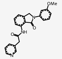 COc1cccc(N2Cc3cccc(NC(=O)Cc4cccnc4)c3C2=O)c1